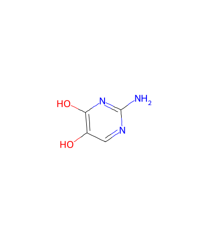 Nc1ncc(O)c(O)n1